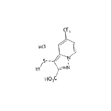 CCSc1c(C(=O)O)nn2ccc(C(F)(F)F)cc12.Cl